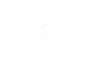 CCCCCCCCCCCC[N+](CCC)(CCC)CCC